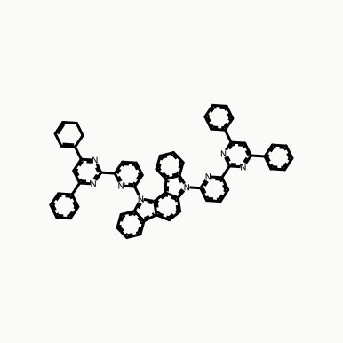 C1=CCCC(c2cc(-c3ccccc3)nc(-c3cccc(-n4c5ccccc5c5ccc6c(c7ccccc7n6-c6cccc(-c7nc(-c8ccccc8)cc(-c8ccccc8)n7)n6)c54)n3)n2)=C1